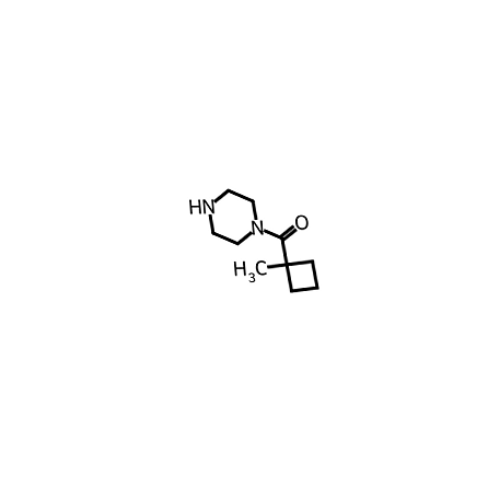 CC1(C(=O)N2CCNCC2)CCC1